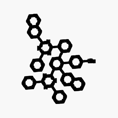 CC(C)(C)c1ccc(-c2c(-c3ccccc3-c3nc(-c4ccccc4)nc(-c4ccc5ccccc5c4)n3)ccc(-c3nc(-c4ccccc4)nc(-c4ccccc4)n3)c2-c2ccc3ccccc3c2)cc1